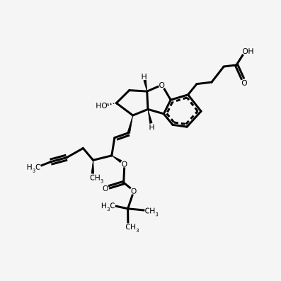 CC#CC[C@H](C)[C@@H](/C=C/[C@@H]1[C@H]2c3cccc(CCCC(=O)O)c3O[C@H]2C[C@H]1O)OC(=O)OC(C)(C)C